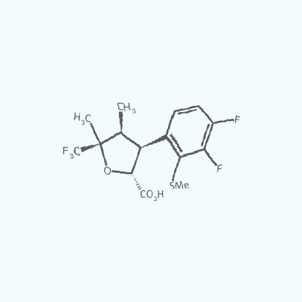 CSc1c([C@H]2[C@H](C(=O)O)O[C@@](C)(C(F)(F)F)[C@H]2C)ccc(F)c1F